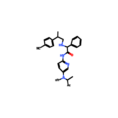 CCCN(c1ccc(NC(=O)C(NCC(C)c2ccc(C#N)cc2)c2ccccc2)nc1)C(C)C(C)=O